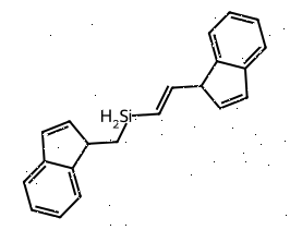 C(=CC1C=Cc2ccccc21)[SiH2]CC1C=Cc2ccccc21